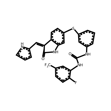 O=C(Nc1cccc(Sc2ccc3c(c2)NC(=O)/C3=C\c2ccc[nH]2)c1)Nc1cc(C(F)(F)F)ccc1F